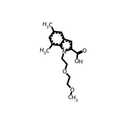 COCCOCCn1c(C(=O)O)cc2cc(C)cc(C)c21